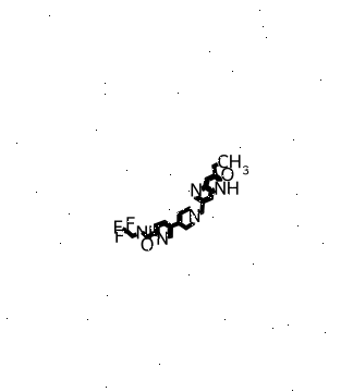 CCc1cc2ncc(CN3CC=C(c4ccc(C(=O)NCC(F)(F)F)nc4)CC3)cc2[nH]c1=O